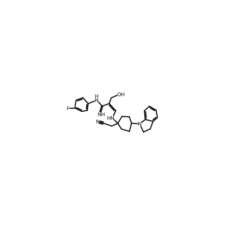 N#CCC1(N/C=C(/CO)C(=N)Nc2ccc(F)cc2)CCC(N2CCc3ccccc32)CC1